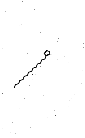 CCCCCCCCCCCCCCCC1=[C]CC=C1